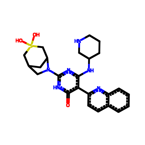 O=c1[nH]c(N2CC3CC2CS(O)(O)C3)nc(NC2CCCNC2)c1-c1ccc2ccccc2n1